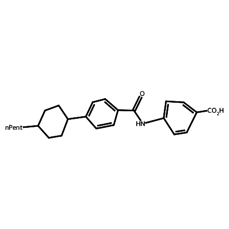 CCCCCC1CCC(c2ccc(C(=O)Nc3ccc(C(=O)O)cc3)cc2)CC1